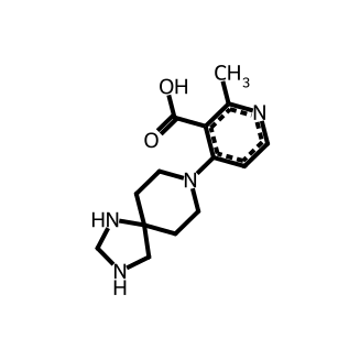 Cc1nccc(N2CCC3(CC2)CNCN3)c1C(=O)O